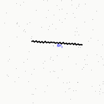 CCCCCCCCCCCCCCCCCCC(N)CCCCCCCCCCCCCCCC